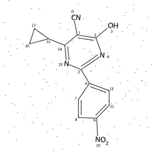 N#Cc1c(O)nc(-c2ccc([N+](=O)[O-])cc2)nc1C1CC1